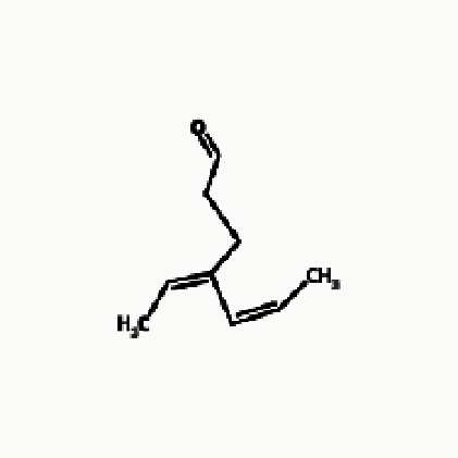 C/C=C\C(=C/C)CCC=O